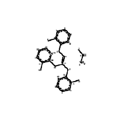 CNN.Cc1cccnc1CC=C(Cc1ncccc1C)Cc1ncccc1C